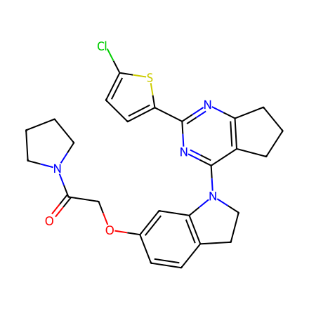 O=C(COc1ccc2c(c1)N(c1nc(-c3ccc(Cl)s3)nc3c1CCC3)CC2)N1CCCC1